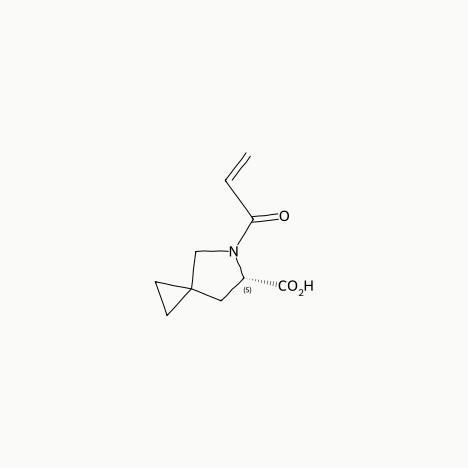 C=CC(=O)N1CC2(CC2)C[C@H]1C(=O)O